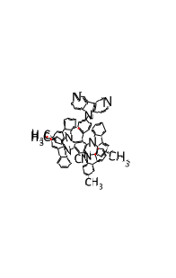 Cc1ccc2c(c1)c1ccccc1n2-c1c(C#N)c(-n2c3ccccc3c3cc(C)ccc32)c(-n2c3ccccc3c3cc(C)ccc32)c(-c2ccc(-n3c4ccncc4c4cnccc43)cc2)c1-n1c2ccccc2c2cc(C)ccc21